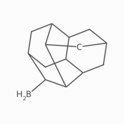 BC1C2CC3C4CC5CC3C1C(C5)C4C2